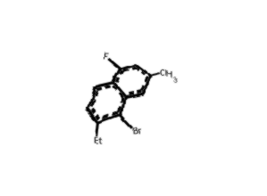 CCc1ccc2c(F)cc(C)cc2c1Br